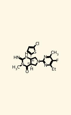 CCc1nc(N2C[C@H]3C(=O)N(C)C(=N)N[C@@]3(c3ccc(Cl)s3)C2)nc(C)c1F